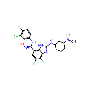 CN(C)C1CCCC(Nc2nc3c(F)c(F)cc(/C(=N/O)Nc4ccc(F)c(Cl)c4)c3[nH]2)C1